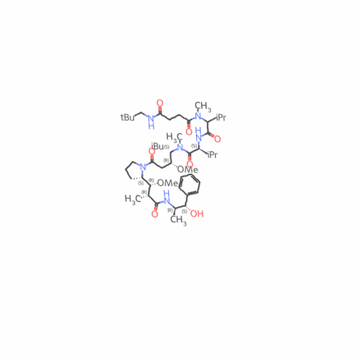 CC[C@H](C)C([C@@H](CC(=O)N1CCC[C@H]1[C@H](OC)[C@@H](C)C(=O)N[C@H](C)[C@@H](O)c1ccccc1)OC)N(C)C(=O)[C@@H](NC(=O)C(C(C)C)N(C)C(=O)CCC(=O)NCC(C)(C)C)C(C)C